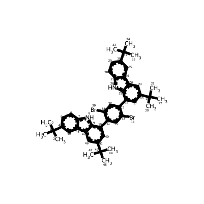 CC(C)(C)c1ccc2[nH]c3c(-c4cc(Br)c(-c5cc(C(C)(C)C)cc6c5[nH]c5ccc(C(C)(C)C)cc56)cc4Br)cc(C(C)(C)C)cc3c2c1